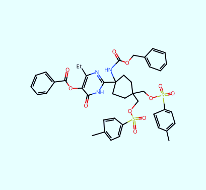 CCc1nc(C2(NC(=O)OCc3ccccc3)CCC(COS(=O)(=O)c3ccc(C)cc3)(COS(=O)(=O)c3ccc(C)cc3)CC2)[nH]c(=O)c1OC(=O)c1ccccc1